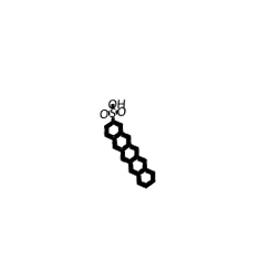 O=S(=O)(O)c1ccc2cc3cc4cc5ccccc5cc4cc3cc2c1